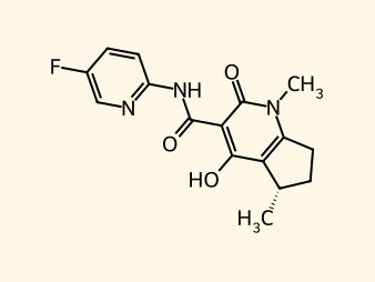 C[C@H]1CCc2c1c(O)c(C(=O)Nc1ccc(F)cn1)c(=O)n2C